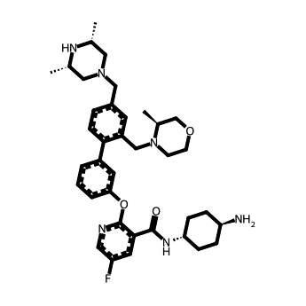 C[C@@H]1CN(Cc2ccc(-c3cccc(Oc4ncc(F)cc4C(=O)N[C@H]4CC[C@H](N)CC4)c3)c(CN3CCOC[C@@H]3C)c2)C[C@H](C)N1